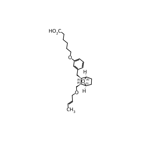 CC=CCOC[C@H]1[C@@H](Cc2cccc(OCCCCCC(=O)O)c2)[C@H]2CC[C@@H]1O2